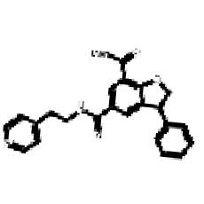 CNC(=O)c1cc(C(=O)NCCc2ccncc2)cc2c1OCC2c1ccccc1